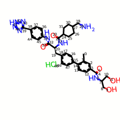 Cc1cc(C(=O)NC(CO)CO)ccc1-c1ccc(C[C@H](NC(=O)C2CCC(CN)CC2)C(=O)Nc2ccc(-c3nn[nH]n3)cc2)cc1.Cl